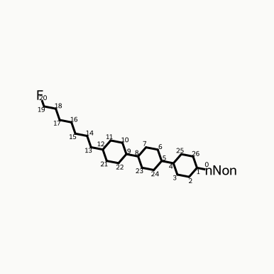 CCCCCCCCCC1CCC(C2CCC(C3CCC(CCCCCCCF)CC3)CC2)CC1